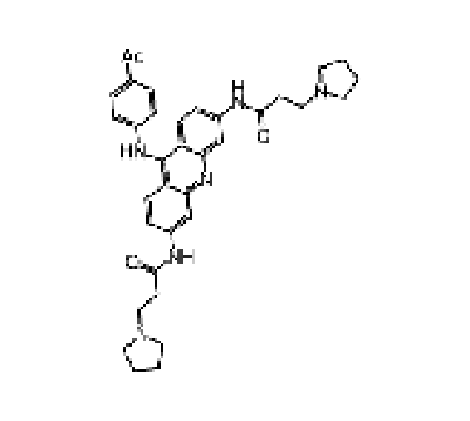 CC(=O)c1ccc(Nc2c3ccc(NC(=O)CCN4CCCC4)cc3nc3cc(NC(=O)CCN4CCCC4)ccc23)cc1